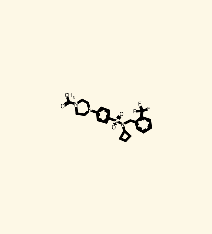 CC(=O)N1CCN(c2ccc(S(=O)(=O)N(Cc3ccccc3C(F)(F)F)C3CCC3)cc2)CC1